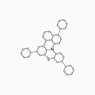 c1ccc(-c2ccc3c(c2)sc2cc(-c4ccccc4)cc4c2-n3c2ccc(-c3ccccc3)c3cccc4c32)cc1